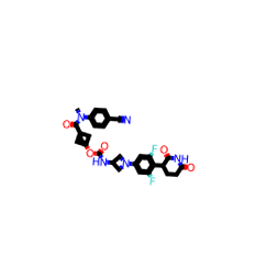 CN(C(=O)C12CC(OC(=O)NC3CN(c4cc(F)c(C5CCC(=O)NC5=O)c(F)c4)C3)(C1)C2)c1ccc(C#N)cc1